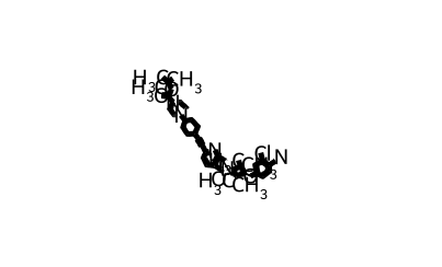 CC(C)(C)OC(=O)N1CCN(C2CCC(C#Cc3ccc4c(n3)CN([C@H]3C(C)(C)[C@H](Oc5ccc(C#N)c(Cl)c5)C3(C)C)C4=O)CC2)CC1